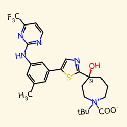 Cc1cc(Nc2nccc(C(F)(F)F)n2)cc(-c2cnc([C@]3(O)CCC[N+](C(=O)[O-])(C(C)(C)C)CC3)s2)c1